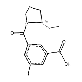 CC[C@H]1CCCN1C(=O)c1cc(C)cc(C(=O)O)c1